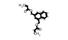 C=CC(=O)OCc1cc(COC(=O)C=C)c2ccccc2c1